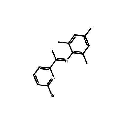 C/C(=N\c1c(C)cc(C)cc1C)c1cccc(Br)n1